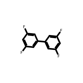 Fc1cc(F)cc(-c2cc(F)cc(F)c2)c1